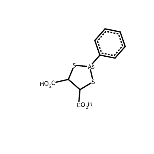 O=C(O)C1S[As](c2ccccc2)SC1C(=O)O